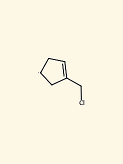 ClCC1=CC[CH]C1